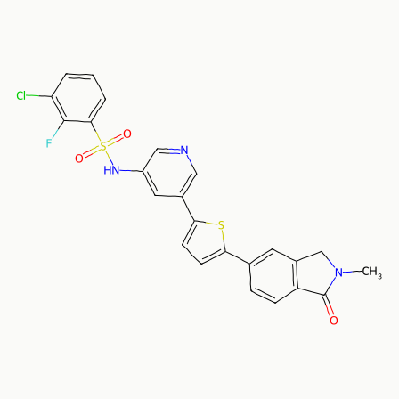 CN1Cc2cc(-c3ccc(-c4cncc(NS(=O)(=O)c5cccc(Cl)c5F)c4)s3)ccc2C1=O